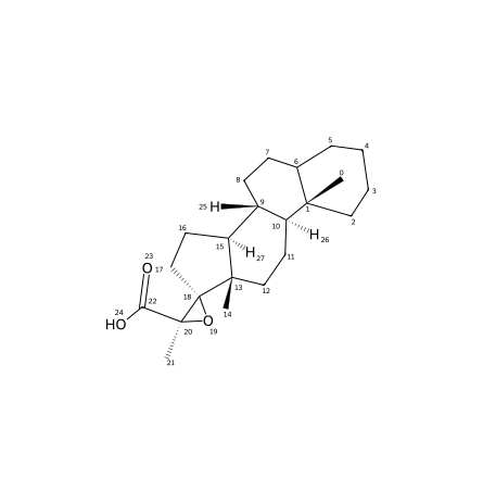 C[C@]12CCCCC1CC[C@@H]1[C@@H]2CC[C@@]2(C)[C@H]1CC[C@@]21O[C@@]1(C)C(=O)O